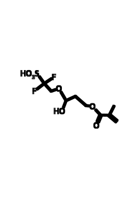 C=C(C)C(=O)OCCC(O)OCC(F)(F)S(=O)(=O)O